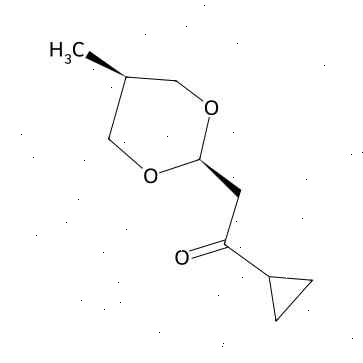 C[C@H]1CO[C@@H](CC(=O)C2CC2)OC1